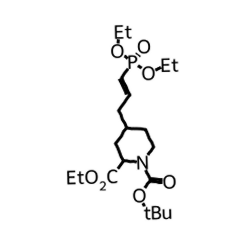 CCOC(=O)C1CC(CC=CP(=O)(OCC)OCC)CCN1C(=O)OC(C)(C)C